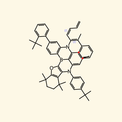 C=C/C=C\C(=C(/C)c1ccccc1)N1c2cc(-c3ccccc3C(C)(C)C)ccc2B2c3oc4c(c3N(c3ccc(C(C)(C)C)cc3)c3cc(C)cc1c32)C(C)(C)CCC4(C)C